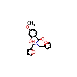 COc1ccc(C(=O)N(Cc2ccco2)Cc2ccco2)c(O)c1